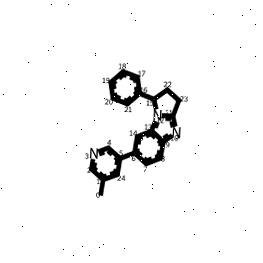 Cc1cncc(-c2ccc3nc4n(c3c2)C(c2ccccc2)CC4)c1